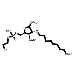 CCCCCCCCCCCCCCCCCCO[C@H]1C(OC)O[C@H](COP(=O)(O)OCCBr)[C@@H]1OC